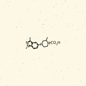 Cc1nn(C)c2ccc(N3CCN(C(=O)O)C(C)C3)cc12